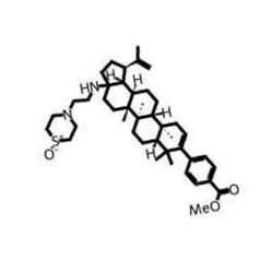 C=C(C)[C@@H]1CCC2(NCCN3CC[S+]([O-])CC3)CC[C@]3(C)[C@H](CC[C@@H]4[C@@]5(C)CC=C(c6ccc(C(=O)OC)cc6)C(C)(C)[C@@H]5CC[C@]43C)[C@@H]12